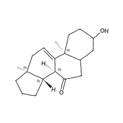 C[C@]12CC=C3[C@@H](C(=O)CC4CC(O)CC[C@]34C)[C@@H]1CCC2